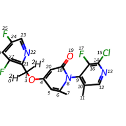 [2H]C([2H])(Oc1cc(C)n(-c2c(C)cnc(Cl)c2F)c(=O)c1)c1ncc(F)cc1F